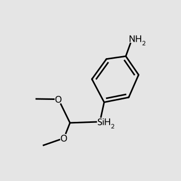 COC(OC)[SiH2]c1ccc(N)cc1